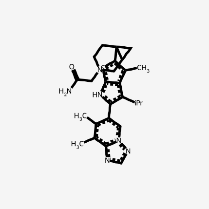 Cc1c(-c2[nH]c3sc(C45CCN(CC(N)=O)CC4C5)c(C)c3c2C(C)C)cn2ncnc2c1C